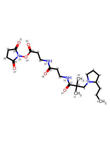 CCCC1CCCN1CC(C)(C)C(=O)NCCC(=O)NCCC(=O)ON1C(=O)CCC1=O